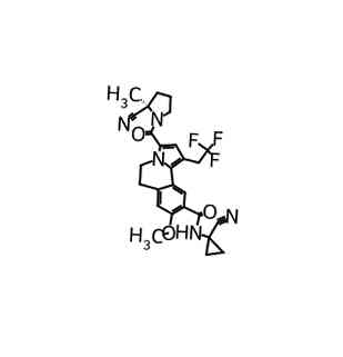 COc1cc2c(cc1C(=O)NC1(C#N)CC1)-c1c(CC(F)(F)F)cc(C(=O)N3CCC[C@]3(C)C#N)n1CC2